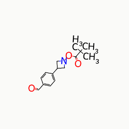 CC(C)(C)C(=O)ON1CC(c2ccc(C=O)cc2)C1